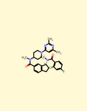 Cc1cc(N2CCC(N(C)C(=O)c3ccc4c(c3)[C@H](N(C)C(=O)c3ccc(F)cc3Cl)CC4)CC2)nc(C)n1